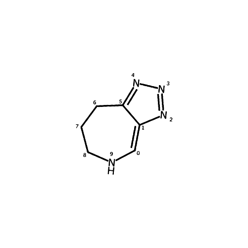 C1=C2N=NN=C2CCCN1